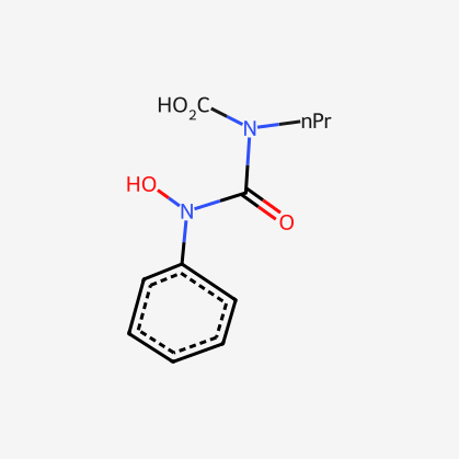 CCCN(C(=O)O)C(=O)N(O)c1ccccc1